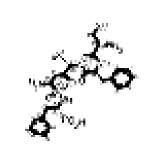 CC(C)[C@H](NC(=O)[C@H](Cc1ccccc1)NC(=O)[C@@H](N)CS)C(=O)CC(N)P(=O)(O)N[C@@H](Cc1ccccc1)C(=O)O